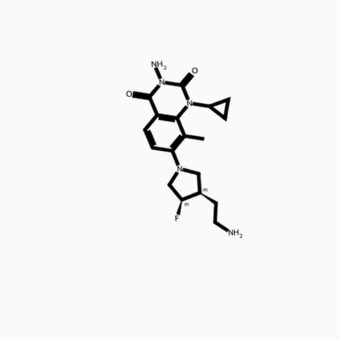 Cc1c(N2C[C@@H](CCN)[C@@H](F)C2)ccc2c(=O)n(N)c(=O)n(C3CC3)c12